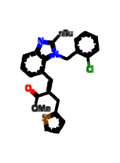 CCCCc1nc2cccc(C=C(Cc3cccs3)C(=O)OC)c2n1Cc1ccccc1Cl